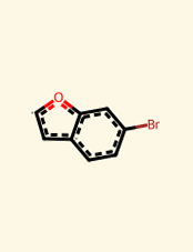 Brc1ccc2c[c]oc2c1